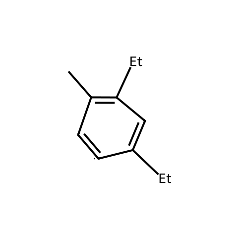 CCc1[c]cc(C)c(CC)c1